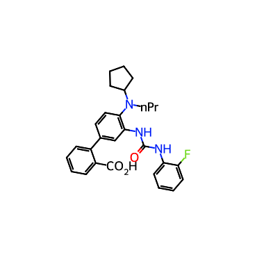 CCCN(c1ccc(-c2ccccc2C(=O)O)cc1NC(=O)Nc1ccccc1F)C1CCCC1